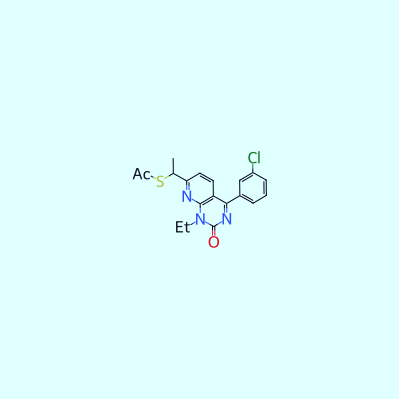 CCn1c(=O)nc(-c2cccc(Cl)c2)c2ccc(C(C)SC(C)=O)nc21